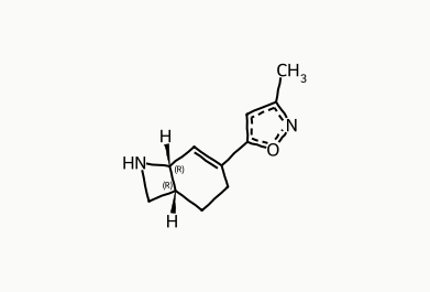 Cc1cc(C2=C[C@H]3NC[C@H]3CC2)on1